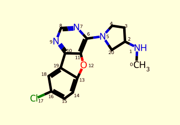 CNC1CCN(c2ncnc3c2oc2ccc(Cl)cc23)C1